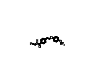 CC(C)CNC(=O)c1ccc(CCOc2ccc(OC(F)(F)F)cc2)cc1